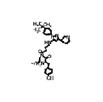 CC(C)(C)c1ccc(-n2nc(-c3cccnc3)cc2NCCCC(=O)N(CCO)C(=O)[C@@H](N)Cc2ccc(O)cc2)cc1